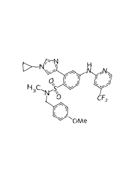 COc1ccc(CN(C)S(=O)(=O)c2ccc(Nc3cc(C(F)(F)F)ccn3)cc2-c2cn(C3CC3)cn2)cc1